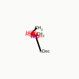 C=CCCCOCC1O[C@H](OC[C@H](NC(=O)CCCCCCCCCCCCCCCCCCCCCCCCC)[C@H](O)[C@@H](C)O)C(O)C(O)[C@H]1O